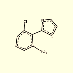 O=[N+]([O-])c1cccc(Cl)c1-c1nccs1